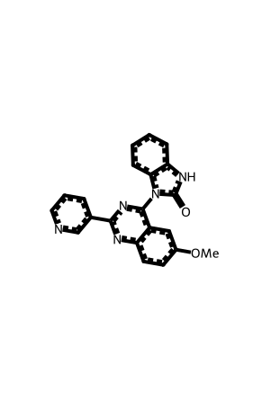 COc1ccc2nc(-c3cccnc3)nc(-n3c(=O)[nH]c4ccccc43)c2c1